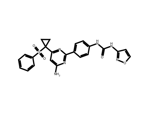 Nc1cc(C2(S(=O)(=O)c3ccccc3)CC2)nc(-c2ccc(NC(=O)Nc3ccon3)cc2)n1